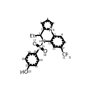 CCC1c2cccn2-c2ccc(C(F)(F)F)cc2N1S(=O)(=O)c1ccc(O)cc1